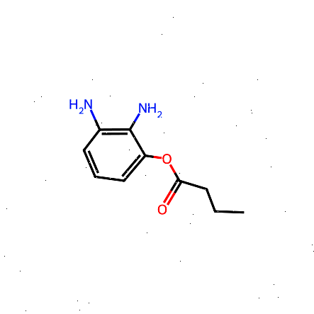 CCCC(=O)Oc1cccc(N)c1N